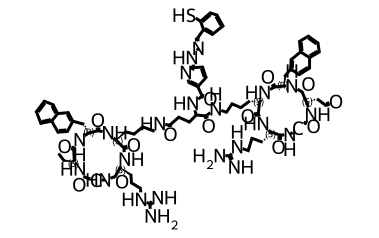 CC[C@@H]1NC(=O)CNC(=O)[C@H](CCCNC(=N)N)NC(=O)[C@H](CCCCNC(=O)CCC(NC(=O)c2ccc(NN=Cc3ccccc3S)nc2)C(=O)NCCCC[C@@H]2NC(=O)[C@@H](Cc3ccc4ccccc4c3)NC(=O)[C@H](CC=O)NC(=O)CNC(=O)[C@H](CCCNC(=N)N)NC2=O)NC(=O)[C@@H](Cc2ccc3ccccc3c2)NC1=O